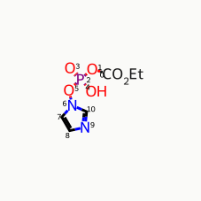 CCOC(=O)OP(=O)(O)On1ccnc1